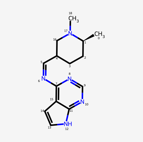 C[C@H]1CCC(/C=N\c2ncnc3[nH]ccc23)CN1C